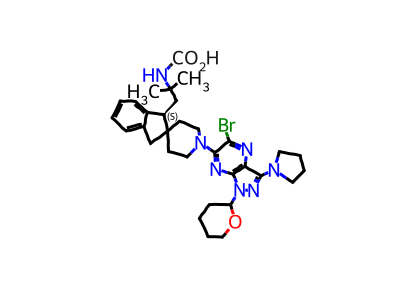 CC(C)(C[C@@H]1c2ccccc2CC12CCN(c1nc3c(nc1Br)c(N1CCCC1)nn3C1CCCCO1)CC2)NC(=O)O